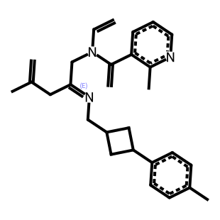 C=CN(C/C(CC(=C)C)=N/CC1CC(c2ccc(C)cc2)C1)C(=C)c1cccnc1C